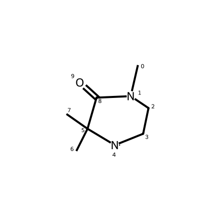 CN1CC[N]C(C)(C)C1=O